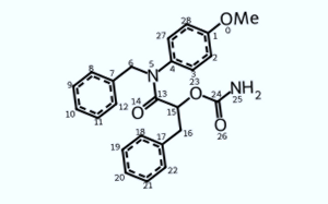 COc1ccc(N(Cc2ccccc2)C(=O)C(Cc2ccccc2)OC(N)=O)cc1